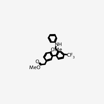 COC(=O)Cc1ccc(OC)c(-c2ccc(C(F)(F)F)cc2CNc2ccccc2)c1